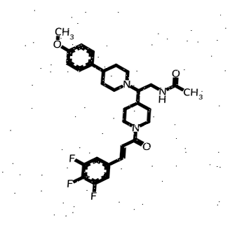 COc1ccc(C2CCN(C(CNC(C)=O)C3CCN(C(=O)C=Cc4cc(F)c(F)c(F)c4)CC3)CC2)cc1